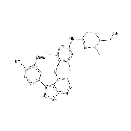 COc1cc(-c2c[nH]c3nccc(Oc4c(F)cc(NC5=NC(C)C(CO)CO5)cc4F)c23)ccc1C#N